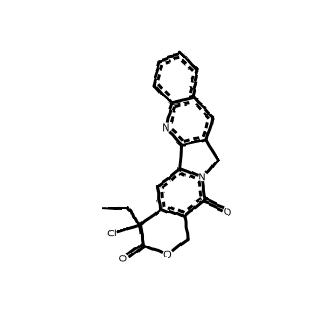 CCC1(Cl)C(=O)OCc2c1cc1n(c2=O)Cc2cc3ccccc3nc2-1